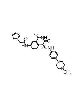 CN1CCN(c2ccc(N/C=C3\C(=O)NC(=O)c4cc(NC(=O)Cc5cccs5)ccc43)cc2)CC1